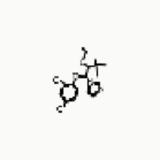 CCOC(C(Oc1ccc(Cl)cc1Cl)n1ccnc1)C(C)(C)C